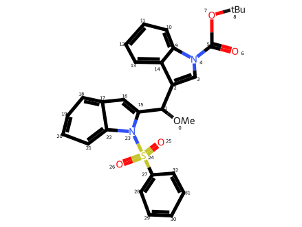 COC(c1cn(C(=O)OC(C)(C)C)c2ccccc12)c1cc2ccccc2n1S(=O)(=O)c1ccccc1